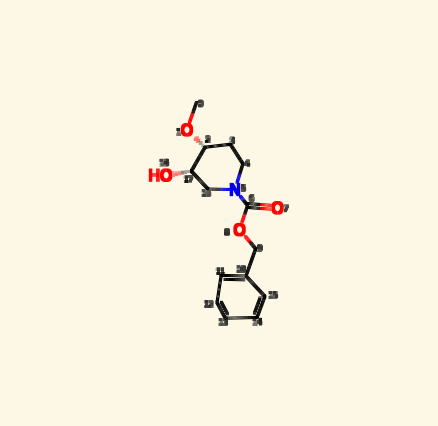 CO[C@@H]1CCN(C(=O)OCc2ccccc2)C[C@@H]1O